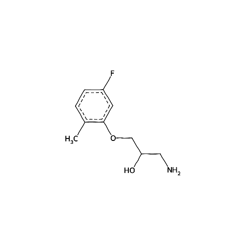 Cc1ccc(F)cc1OCC(O)CN